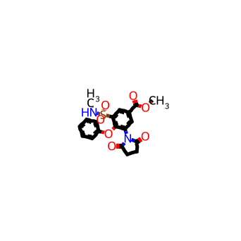 CNS(=O)(=O)c1cc(C(=O)OC)cc(N2C(=O)CCC2=O)c1Oc1ccccc1